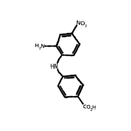 Nc1cc([N+](=O)[O-])ccc1Nc1ccc(C(=O)O)cc1